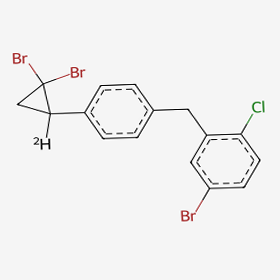 [2H]C1(c2ccc(Cc3cc(Br)ccc3Cl)cc2)CC1(Br)Br